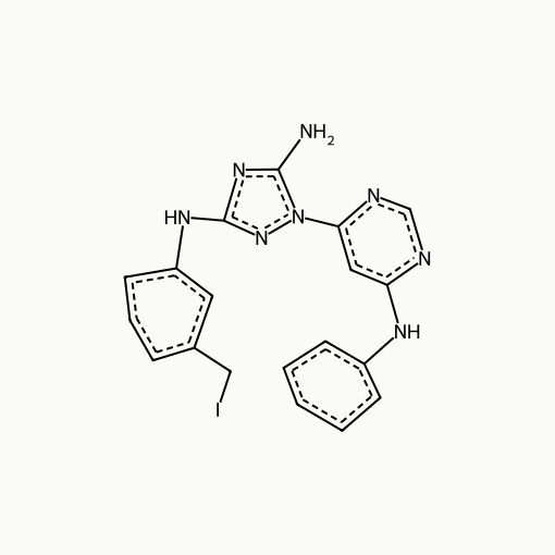 Nc1nc(Nc2cccc(CI)c2)nn1-c1cc(Nc2ccccc2)ncn1